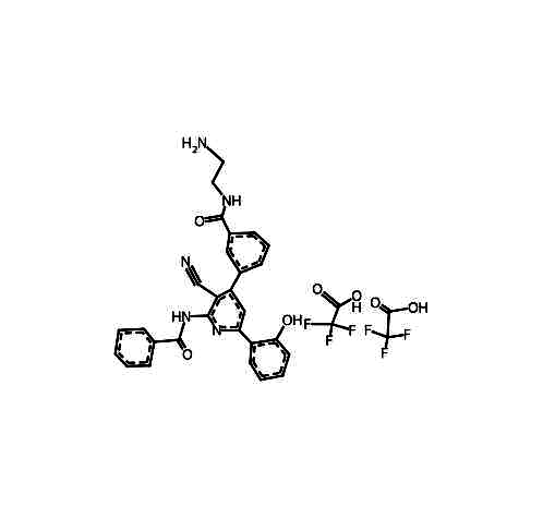 N#Cc1c(-c2cccc(C(=O)NCCN)c2)cc(-c2ccccc2O)nc1NC(=O)c1ccccc1.O=C(O)C(F)(F)F.O=C(O)C(F)(F)F